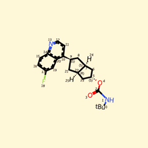 CC(C)(C)NC(=O)O[C@H]1C[C@@H]2C[C@H](c3ccnc4ccc(F)cc34)C[C@@H]2C1